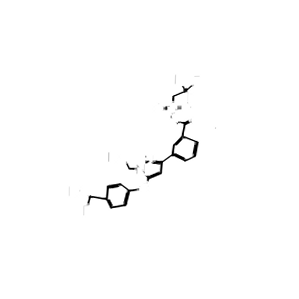 C=C(NS(=O)(=O)CC(F)(F)F)c1cccc(-c2cc(Oc3ccc(C(C)F)cc3)n(CC)n2)c1